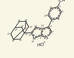 Cl.N#Cc1ccc(-c2csc3nc(C45CC6CC(CC(C6)C4)C5)cn23)cc1